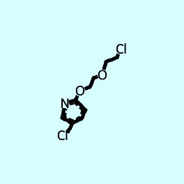 ClCCOCCOc1ccc(Cl)cn1